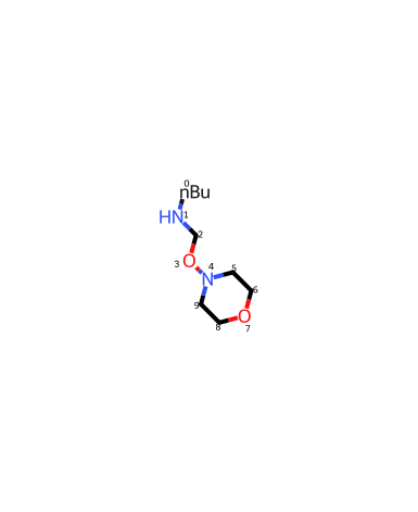 CCCCNCON1CCOCC1